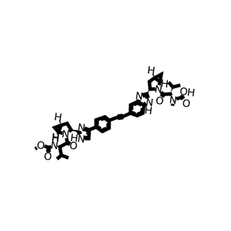 COC(=O)N[C@H](C(=O)N1[C@@H]2C[C@H]2C[C@H]1c1nc(-c2ccc(C#Cc3ccc4[nH]c([C@@H]5C[C@H]6C[C@H]6N5C(=O)[C@H](C(C)C)N(C)C(=O)O)nc4c3)cc2)c[nH]1)C(C)C